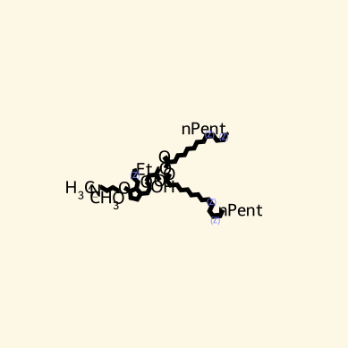 CC/C=C\CC1C(CC(O)OCC(COC(=O)CCCCCCC/C=C\C/C=C\CCCCC)OC(=O)CCCCCCC/C=C\C/C=C\CCCCC)CCC1OC(=O)CCCN(C)C